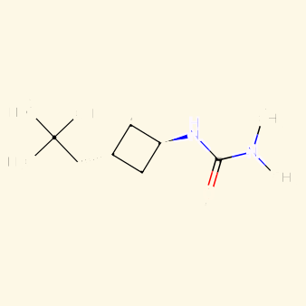 CN(C)C(=O)N[C@H]1C[C@H](CC(C)(C)C)C1